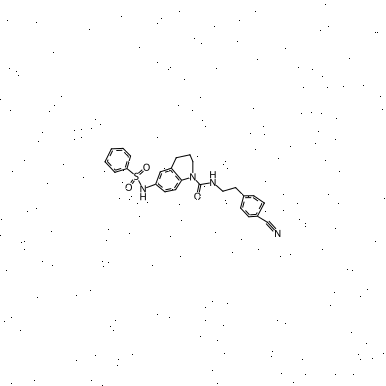 N#Cc1ccc(CCNC(=O)N2CCCc3cc(NS(=O)(=O)c4ccccc4)ccc32)cc1